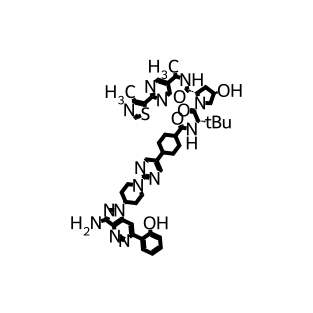 Cc1ncsc1-c1ncc(C(C)NC(=O)[C@@H]2C[C@@H](O)CN2C(=O)[C@@H](NC(=O)C2CCC(c3cnc(N4CCC(n5nc(N)c6nnc(-c7ccccc7O)cc65)CC4)nc3)CC2)C(C)(C)C)cn1